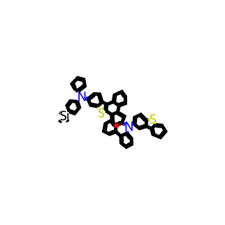 C[Si](C)(C)c1ccc(N(c2ccccc2)c2ccc3c(c2)sc2c4ccc(N(c5ccc6sc7ccccc7c6c5)c5ccccc5-c5ccccc5)cc4c4ccccc4c32)cc1